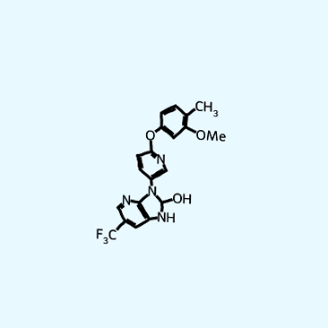 COc1cc(Oc2ccc(N3c4ncc(C(F)(F)F)cc4NC3O)cn2)ccc1C